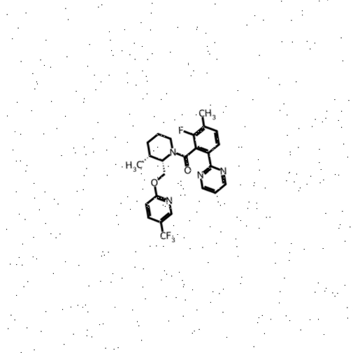 Cc1ccc(-c2ncccn2)c(C(=O)N2CCC[C@@H](C)[C@H]2COc2ccc(C(F)(F)F)cn2)c1F